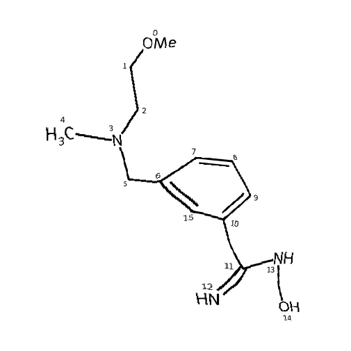 COCCN(C)Cc1cccc(C(=N)NO)c1